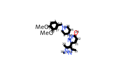 COc1ccc(CN2CCC(n3nc(-c4c(C)nn(C)c4C)ccc3=O)CC2)cc1OC